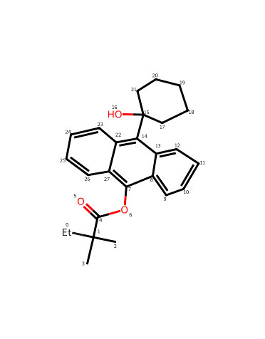 CCC(C)(C)C(=O)Oc1c2ccccc2c(C2(O)CCCCC2)c2ccccc12